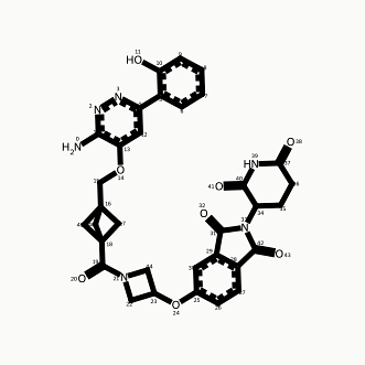 Nc1nnc(-c2ccccc2O)cc1OCC12CC(C(=O)N3CC(Oc4ccc5c(c4)C(=O)N(C4CCC(=O)NC4=O)C5=O)C3)(C1)C2